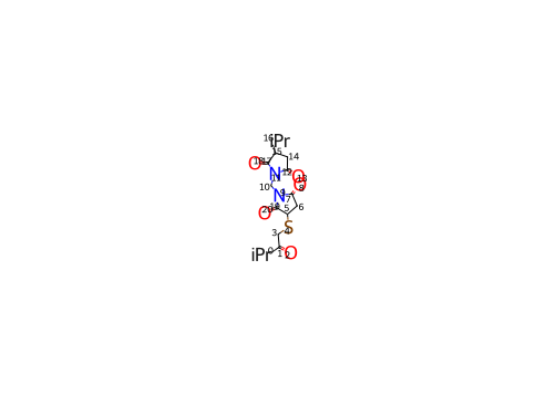 CC(C)C(=O)CSC1CC(=O)N(CN2C(=O)CC(C(C)C)C2=O)C1=O